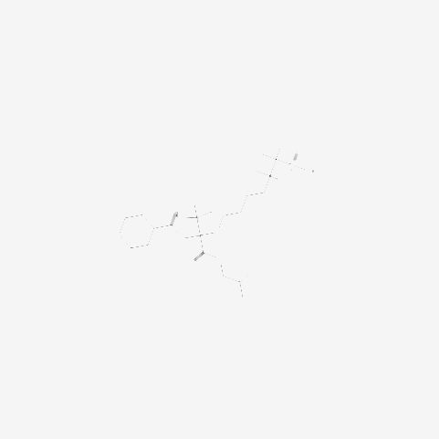 CC(C)COC(=O)C(OCCCCC(F)(F)C(F)(F)S(=O)(=O)O)(OC(=O)C1CCCCC1)C(F)(F)F